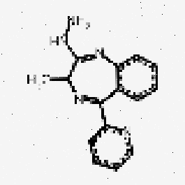 CC1N=C(c2ccccn2)c2ccccc2N=C1NN